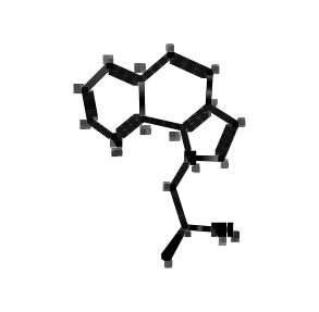 C[C@H](N)Cn1ccc2ccc3cccnc3c21